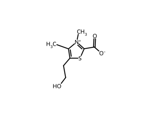 Cc1c(CCO)sc(C(=O)[O-])[n+]1C